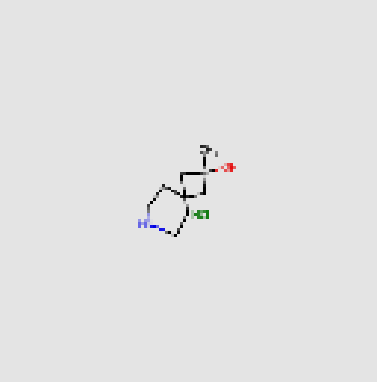 CC1(O)CC2(CCNCC2)C1.Cl